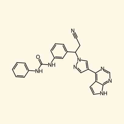 N#CCC(c1cccc(NC(=O)Nc2ccccc2)c1)n1cc(-c2ncnc3[nH]ccc23)cn1